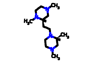 C[C@@H]1CN(C)CCN1CC[C@@H]1CN(C)CCN1C